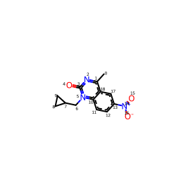 Cc1nc(=O)n(CC2CC2)c2ccc([N+](=O)[O-])cc12